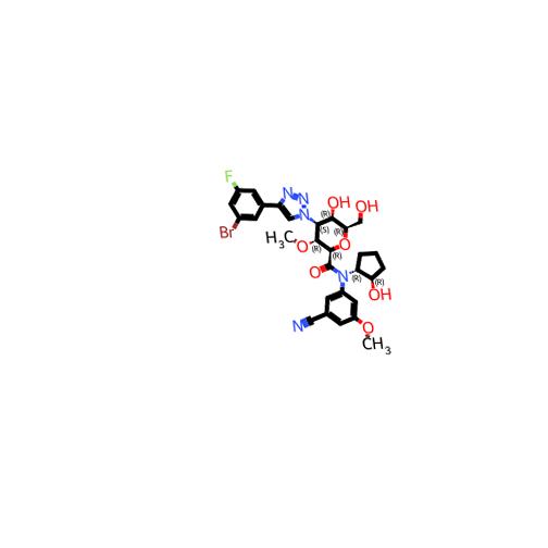 COc1cc(C#N)cc(N(C(=O)[C@@H]2O[C@H](CO)[C@H](O)[C@H](n3cc(-c4cc(F)cc(Br)c4)nn3)[C@H]2OC)[C@@H]2CCC[C@H]2O)c1